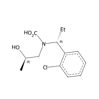 CC[C@H](c1ccccc1Cl)N(C[C@@H](C)O)C(=O)O